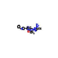 C[C@@H]1CN(c2ncc(C#N)c(N)n2)C[C@H](C)N1C(=O)NCCC1CCN(Cc2ccccc2)CC1